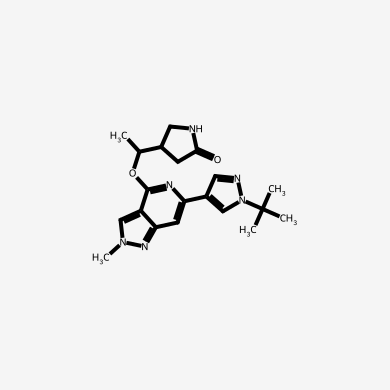 CC(Oc1nc(-c2cnn(C(C)(C)C)c2)cc2nn(C)cc12)C1CNC(=O)C1